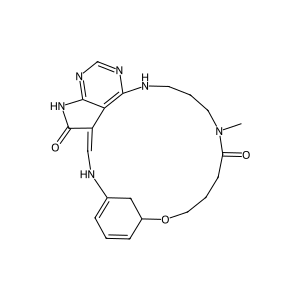 CN1CCCNc2ncnc3c2/C(=C\NC2=CC=CC(C2)OCCCC1=O)C(=O)N3